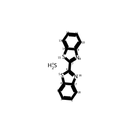 S.c1ccc2sc(-c3nc4ccccc4s3)nc2c1